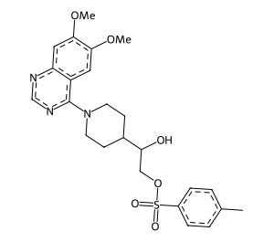 COc1cc2ncnc(N3CCC(C(O)COS(=O)(=O)c4ccc(C)cc4)CC3)c2cc1OC